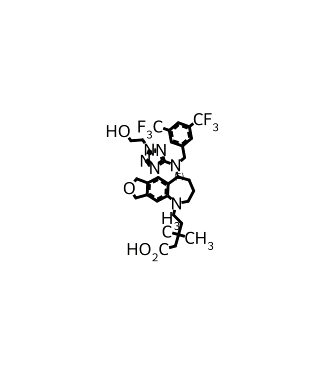 CC(C)(CCN1CCC[C@H](N(Cc2cc(C(F)(F)F)cc(C(F)(F)F)c2)c2nnn(CCO)n2)c2cc3c(cc21)COC3)CC(=O)O